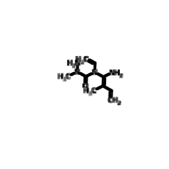 C=C/C(C)=C(\N)N(C=C)C(=O)N(C)N